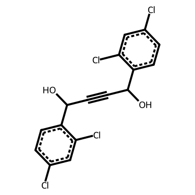 OC(C#CC(O)c1ccc(Cl)cc1Cl)c1ccc(Cl)cc1Cl